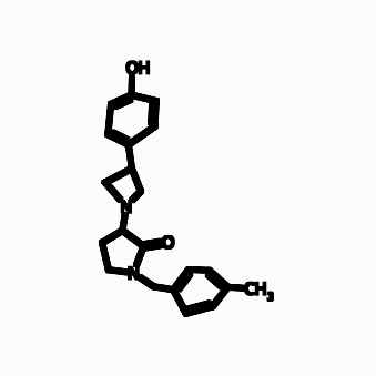 Cc1ccc(CN2CCC(N3CC(c4ccc(O)cc4)C3)C2=O)cc1